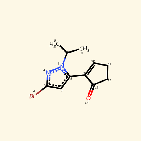 CC(C)n1nc(Br)cc1C1=CCCC1=O